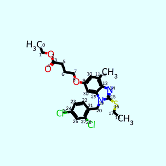 CCOC(=O)CCCOc1cc(C)c2nc(SCC)n(Cc3ccc(Cl)cc3Cl)c2c1